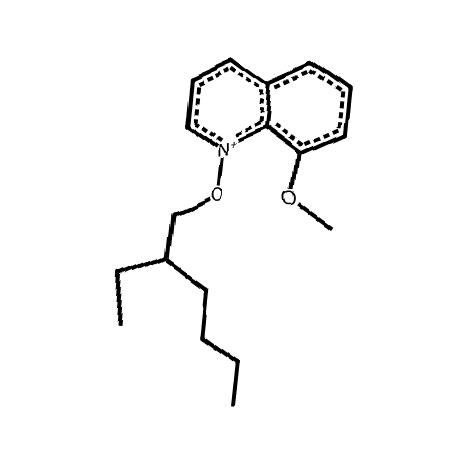 CCCCC(CC)CO[n+]1cccc2cccc(OC)c21